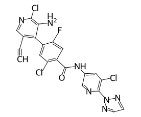 C#Cc1cnc(Cl)c(N)c1-c1cc(Cl)c(C(=O)Nc2cnc(-n3nccn3)c(Cl)c2)cc1F